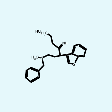 CCCC(=N)C(CCN(C)Cc1ccccc1)c1csc2ccccc12.Cl